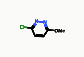 COc1[c]cc(Cl)nn1